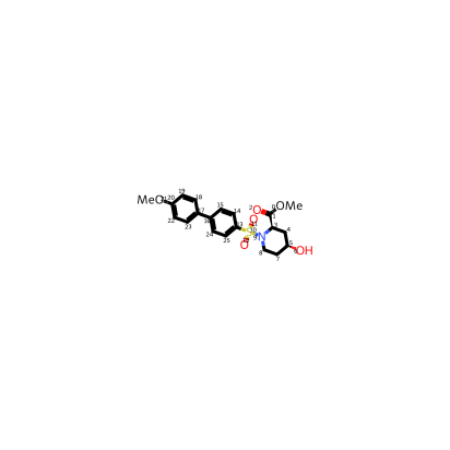 COC(=O)[C@H]1C[C@@H](O)CCN1S(=O)(=O)c1ccc(-c2ccc(OC)cc2)cc1